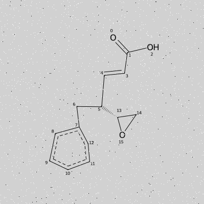 O=C(O)/C=C/C(Cc1ccccc1)[C@@H]1CO1